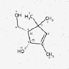 CC1=CC(C)(C)[C@@H](CO)[C@H]1O